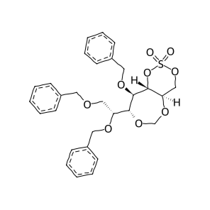 O=S1(=O)OC[C@H]2OCO[C@H]([C@@H](COCc3ccccc3)OCc3ccccc3)[C@@H](OCc3ccccc3)[C@@H]2O1